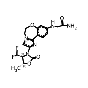 C[C@H]1OC(=O)N(c2cn3c(n2)-c2ccc(NCC(N)=O)cc2OCC3)[C@@H]1C(F)F